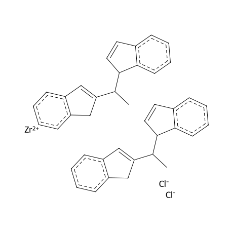 CC(C1=Cc2ccccc2C1)C1C=Cc2ccccc21.CC(C1=Cc2ccccc2C1)C1C=Cc2ccccc21.[Cl-].[Cl-].[Zr+2]